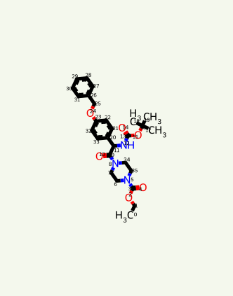 CCOC(=O)N1CCN(C(=O)C(NC(=O)OC(C)(C)C)c2ccc(OCc3ccccc3)cc2)CC1